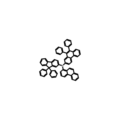 c1ccc(-c2c(-c3ccccc3)c3cc(N(c4ccc5c(c4)C(c4ccccc4)(c4ccccc4)c4ccccc4-5)c4cccc5c4ccc4ccccc45)ccc3c3ccccc23)cc1